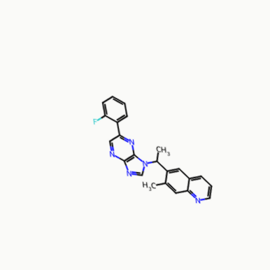 Cc1cc2ncccc2cc1C(C)n1cnc2ncc(-c3ccccc3F)nc21